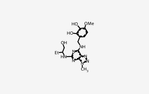 CCC(CO)Nc1nc(NCc2ccc(OC)c(O)c2O)c2nnn(C)c2n1